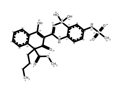 CCCCC1(C(=O)OC)C(=O)C(C2=NS(O)(O)c3cc(NS(C)(=O)=O)ccc3N2)=C(O)c2ccccc21